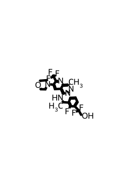 Cc1nnc(N[C@H](C)c2cccc(C(F)(F)CO)c2F)c2cc(N3CCOCC3)c(C(F)(F)F)nc12